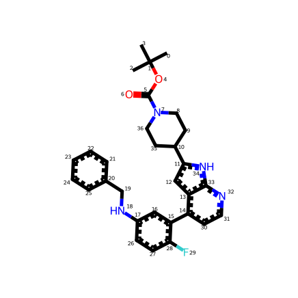 CC(C)(C)OC(=O)N1CCC(c2cc3c(-c4cc(NCc5ccccc5)ccc4F)ccnc3[nH]2)CC1